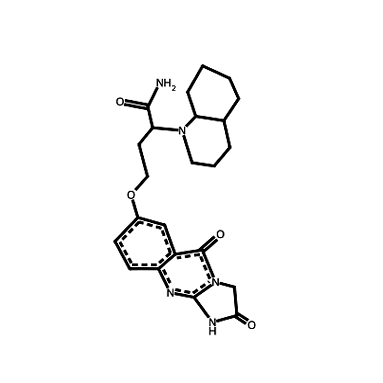 NC(=O)C(CCOc1ccc2nc3n(c(=O)c2c1)CC(=O)N3)N1CCCC2CCCCC21